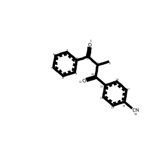 CC(C(=O)c1ccccc1)C(=O)c1ccc(C#N)cc1